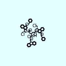 O=C(NC(CC(=O)N1C[C@@H](CCl)c2c1cc(OCc1ccccc1)c1ccccc21)CC(=O)N1C[C@@H](CCl)c2c1cc(OCc1ccccc1)c1ccccc21)OCC1c2ccccc2-c2ccccc21